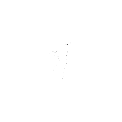 CCCCCCCCCCCCOC(N)=S.CCCCOC(=O)OC(N)=S